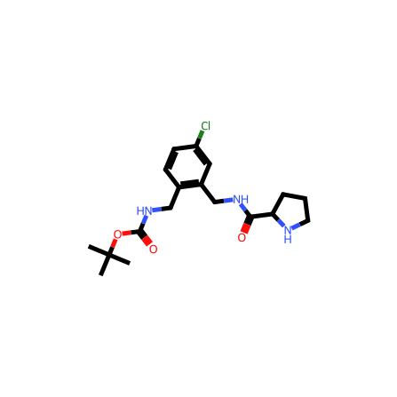 CC(C)(C)OC(=O)NCc1ccc(Cl)cc1CNC(=O)C1CCCN1